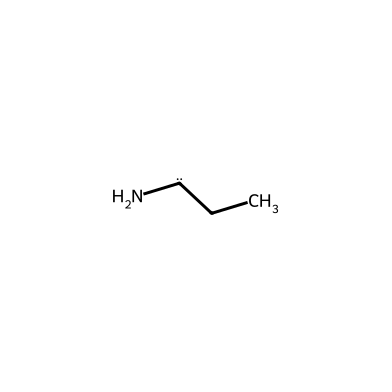 CC[C]N